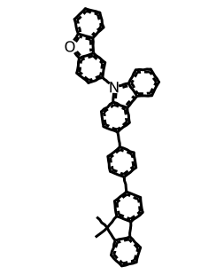 CC1(C)c2ccccc2-c2ccc(-c3ccc(-c4ccc5c(c4)c4ccccc4n5-c4ccc5oc6ccccc6c5c4)cc3)cc21